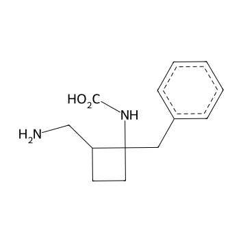 NCC1CCC1(Cc1ccccc1)NC(=O)O